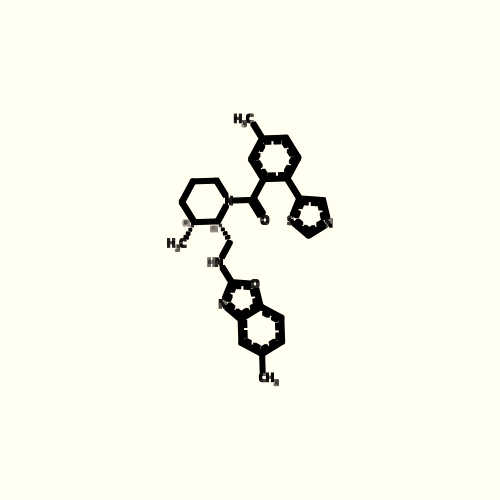 Cc1ccc(-c2cncs2)c(C(=O)N2CCC[C@@H](C)[C@H]2CNc2nc3cc(C)ccc3o2)c1